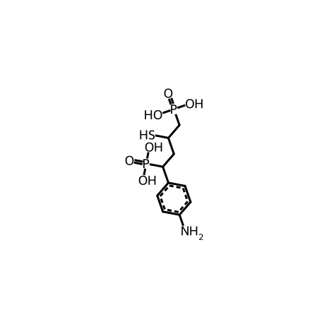 Nc1ccc(C(CC(S)CP(=O)(O)O)P(=O)(O)O)cc1